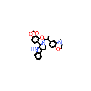 C=C(C(=O)N1CCc2c([nH]c3ccccc23)C1c1ccc2c(c1)OCO2)c1ccc2c(c1)N(C)CCO2